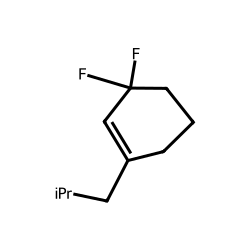 CC(C)CC1=CC(F)(F)CCC1